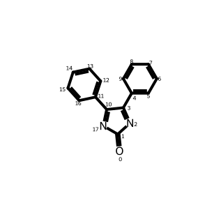 O=C1N=C(c2ccccc2)C(c2ccccc2)=N1